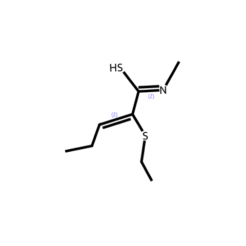 CC/C=C(SCC)/C(S)=N/C